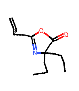 C=CC1=NC(CC)(CC)C(=O)O1